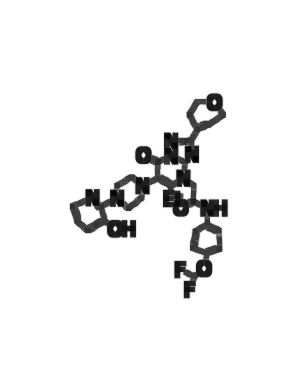 CCc1c(N2CCN(c3ncccc3O)CC2)c(=O)n2nc(C3=CCOCC3)nc2n1CC(=O)Nc1ccc(OC(F)F)cc1